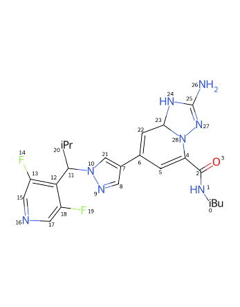 CCC(C)NC(=O)C1=CC(c2cnn(C(c3c(F)cncc3F)C(C)C)c2)=CC2NC(N)=NN12